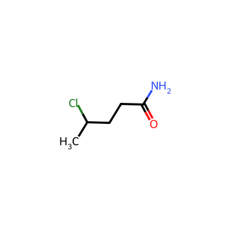 CC(Cl)CCC(N)=O